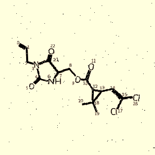 C=CCN1C(=O)NC(COC(=O)C2C(C=C(Cl)Cl)C2(C)C)C1=O